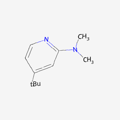 CN(C)c1cc(C(C)(C)C)ccn1